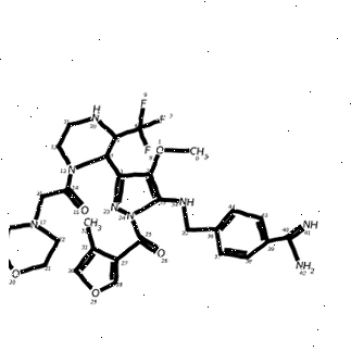 COc1c(C2C(C(F)(F)F)NCCN2C(=O)CN2CCOCC2)nn(C(=O)c2cocc2C)c1NCc1ccc(C(=N)N)cc1